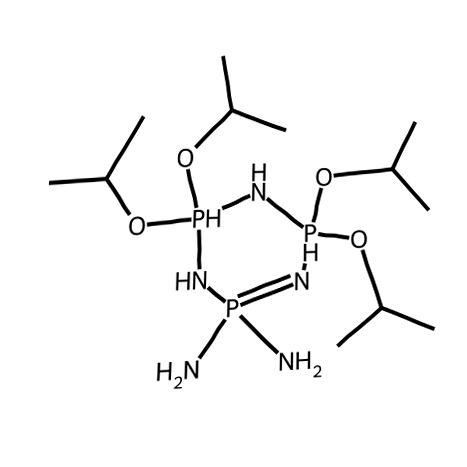 CC(C)O[PH]1(OC(C)C)N=P(N)(N)N[PH](OC(C)C)(OC(C)C)N1